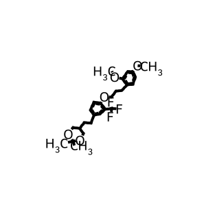 COc1ccc(CCCOc2ccc(CCC3COC(C)(C)OC3)cc2C(F)(F)F)c(OC)c1